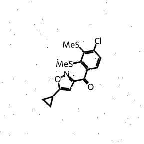 CSc1c(Cl)ccc(C(=O)c2cc(C3CC3)on2)c1SC